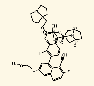 C#Cc1c(F)ccc2cc(OCOC)cc(-c3ccc4c(N5C[C@H]6CC[C@@H](C5)N6C(=O)OC(C)(C)C)nc(OCC56CCCN5CCC6)nc4c3F)c12